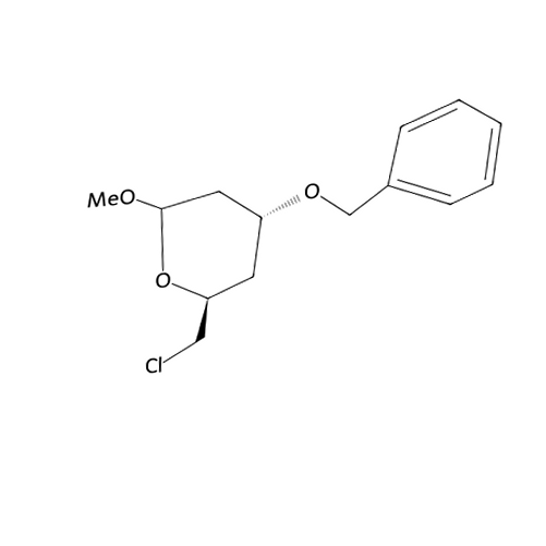 COC1C[C@H](OCc2ccccc2)C[C@@H](CCl)O1